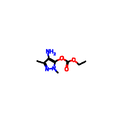 CCOC(=O)Oc1c(N)c(C)nn1C